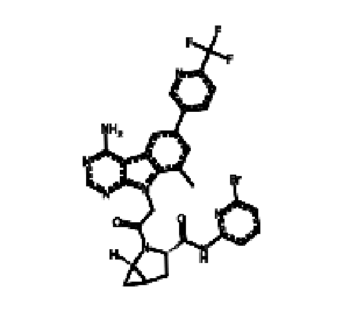 Cc1cc(-c2ccc(C(F)(F)F)nc2)cc2c3c(N)ncnc3n(CC(=O)N3[C@@H]4CC4C[C@H]3C(=O)Nc3cccc(Br)n3)c12